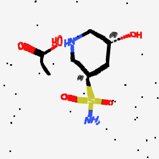 CC(=O)O.NS(=O)(=O)[C@H]1CNC[C@H](O)C1